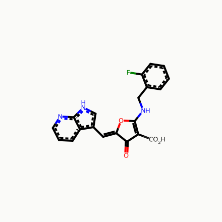 O=C(O)C1=C(NCc2ccccc2F)OC(=Cc2c[nH]c3ncccc23)C1=O